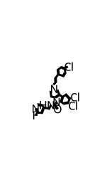 O=C(NCc1ccnc(F)c1)n1c2c(c3cc(Cl)c(Cl)cc31)CN(CC=Cc1ccc(Cl)cc1)CC2